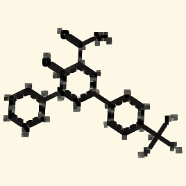 NC(=O)c1cc(-c2ccc(C(F)(F)F)cc2)nn(-c2cccnc2)c1=O